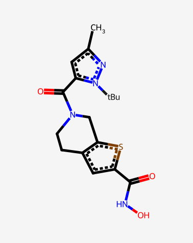 Cc1cc(C(=O)N2CCc3cc(C(=O)NO)sc3C2)n(C(C)(C)C)n1